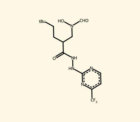 CC(C)(C)CCC(CN(O)C=O)C(=O)NNc1nccc(C(F)(F)F)n1